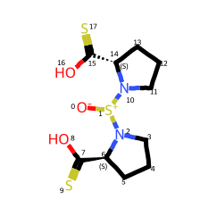 [O-][S+](N1CCC[C@H]1C(O)=S)N1CCC[C@H]1C(O)=S